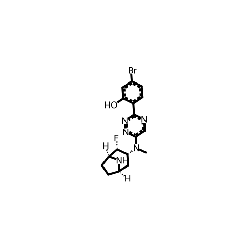 CN(c1cnc(-c2ccc(Br)cc2O)nn1)[C@@H]1C[C@H]2CC[C@H](N2)[C@@H]1F